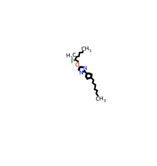 CCCCCCCCc1ccc(-c2ncc(OCC(F)C(C)CCCC)cn2)cc1